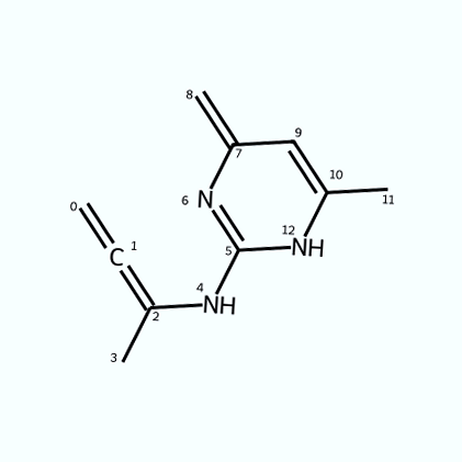 C=C=C(C)NC1=NC(=C)C=C(C)N1